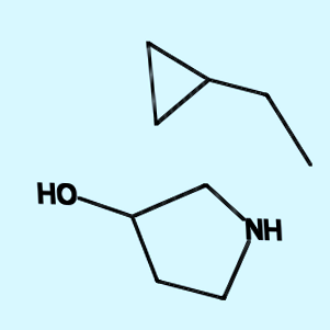 CCC1CC1.OC1CCNC1